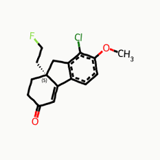 COc1ccc2c(c1Cl)C[C@]1(CCF)CCC(=O)C=C21